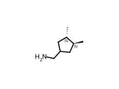 C[C@H]1CC(CN)C[C@@H]1C